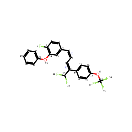 Fc1ccc(/C=C\C=C(/c2ccc(OC(F)(F)F)cc2)C(F)F)cc1Oc1ccccc1